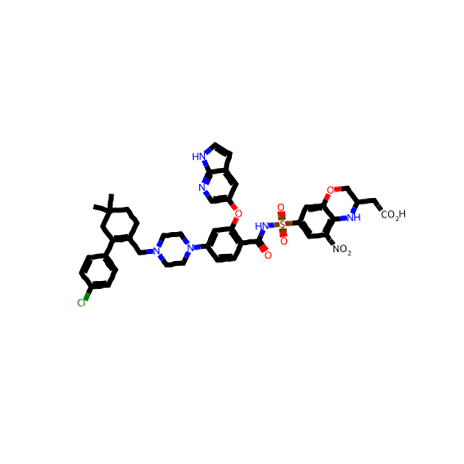 CC1(C)CCC(CN2CCN(c3ccc(C(=O)NS(=O)(=O)c4cc5c(c([N+](=O)[O-])c4)NC(CC(=O)O)CO5)c(Oc4cnc5[nH]ccc5c4)c3)CC2)=C(c2ccc(Cl)cc2)C1